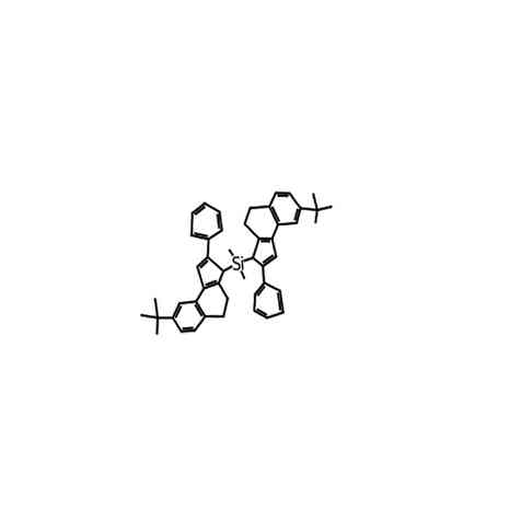 CC(C)(C)c1ccc2c(c1)C1=C(CC2)C([Si](C)(C)C2C(c3ccccc3)=CC3=C2CCc2ccc(C(C)(C)C)cc23)C(c2ccccc2)=C1